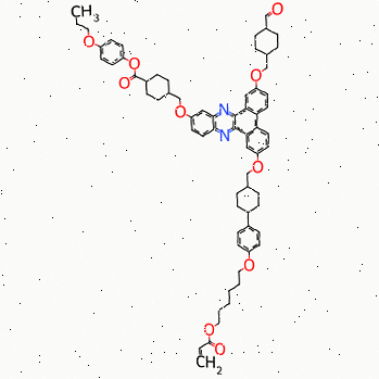 C=CC(=O)OCCCCCCOc1ccc(C2CCC(COc3ccc4c5ccc(OCC6CCC(C=O)CC6)cc5c5nc6cc(OCC7CCC(C(=O)Oc8ccc(OCCC)cc8)CC7)ccc6nc5c4c3)CC2)cc1